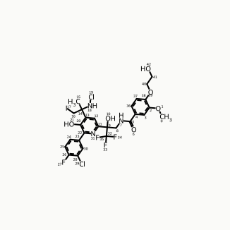 COc1cc(C(=O)NCC(O)(c2cc(C(C)(CI)NCl)c(O)c(-c3ccc(F)c(Cl)c3)n2)C(F)(F)F)ccc1OCCO